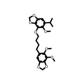 COc1c(CCCCOc2c3c(cc(C(C)C)c2OC)OCO3)cc2c(c1OC)OCO2